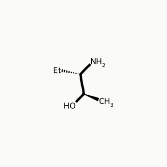 CC[C@H](N)[C@@H](C)O